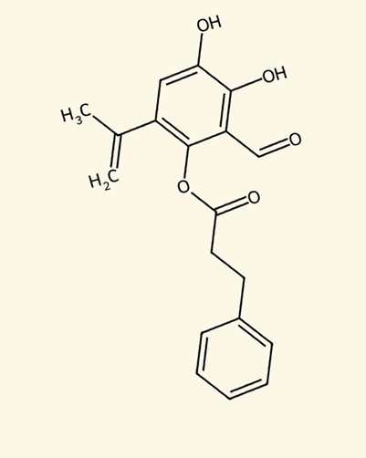 C=C(C)c1cc(O)c(O)c(C=O)c1OC(=O)CCc1ccccc1